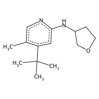 Cc1cnc(NC2CCOC2)cc1C(C)(C)C